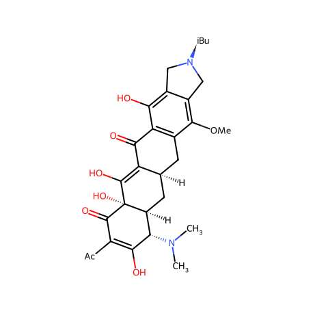 CC[C@H](C)N1Cc2c(O)c3c(c(OC)c2C1)C[C@H]1C[C@H]2[C@H](N(C)C)C(O)=C(C(C)=O)C(=O)[C@@]2(O)C(O)=C1C3=O